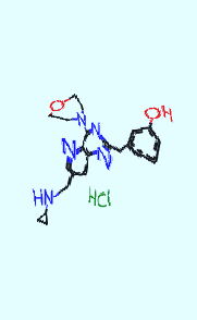 Cl.Oc1cccc(-c2nc(N3CCOCC3)c3ncc(CNC4CC4)cc3n2)c1